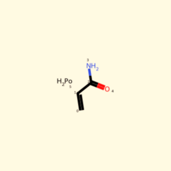 C=CC(N)=O.[PoH2]